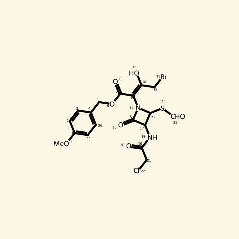 COc1ccc(COC(=O)C(=C(O)CBr)N2C(=O)C(NC(=O)CCl)C2SC=O)cc1